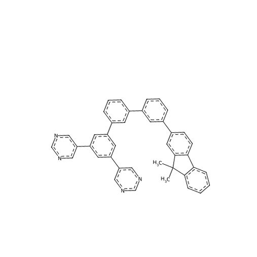 CC1(C)c2ccccc2-c2ccc(-c3cccc(-c4cccc(-c5cc(-c6cncnc6)cc(-c6cncnc6)c5)c4)c3)cc21